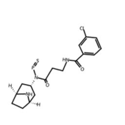 O=C(NCCC(=O)N(P=S)[C@@H]1C[C@H]2CC[C@@H](C1)N2)c1cccc(Cl)c1